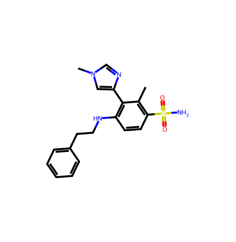 Cc1c(S(N)(=O)=O)ccc(NCCc2ccccc2)c1-c1cn(C)cn1